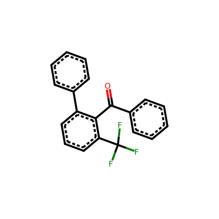 O=C(c1ccccc1)c1c(-c2ccccc2)cccc1C(F)(F)F